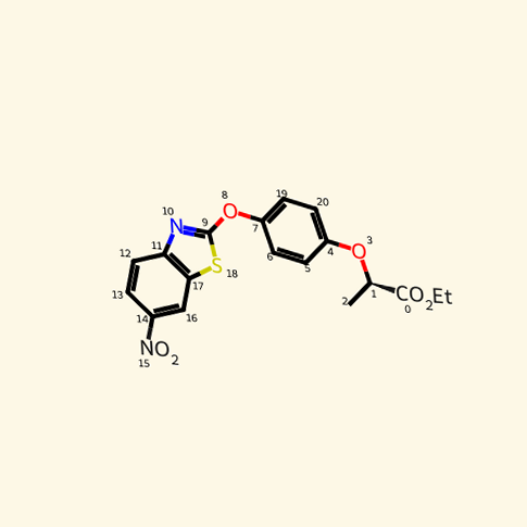 CCOC(=O)[C@@H](C)Oc1ccc(Oc2nc3ccc([N+](=O)[O-])cc3s2)cc1